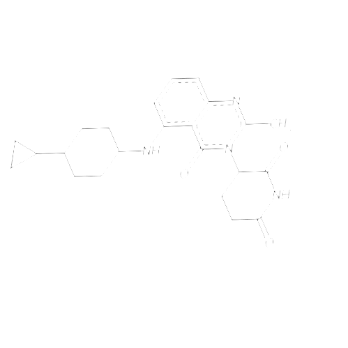 Cc1nc2cccc(NC3CCC(C4CC4)CC3)c2c(=O)n1C1CCC(=O)NC1=O